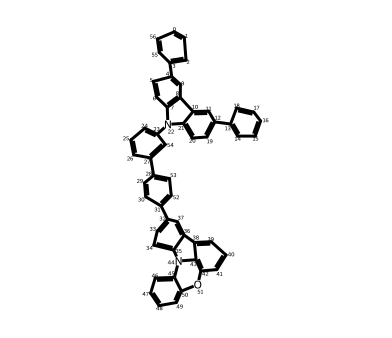 c1ccc(-c2ccc3c(c2)c2cc(-c4ccccc4)ccc2n3-c2cccc(-c3ccc(-c4ccc5c(c4)c4cccc6c4n5-c4ccccc4O6)cc3)c2)cc1